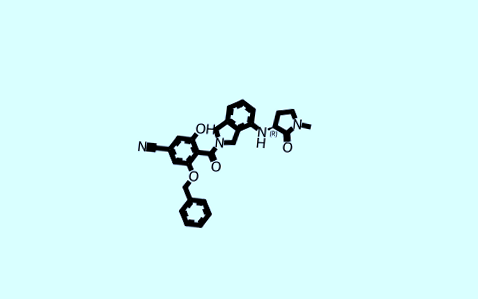 CN1CC[C@@H](Nc2cccc3c2CN(C(=O)c2c(O)cc(C#N)cc2OCc2ccccc2)C3)C1=O